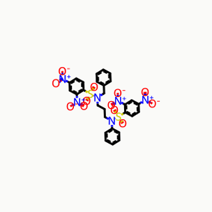 O=[N+]([O-])c1ccc(S(=O)(=O)N(CCCN(c2ccccc2)S(=O)(=O)c2ccc([N+](=O)[O-])cc2[N+](=O)[O-])Cc2ccccc2)c([N+](=O)[O-])c1